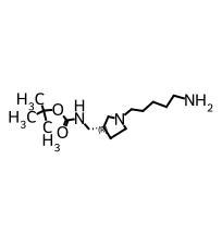 CC(C)(C)OC(=O)NC[C@H]1CCN(CCCCCN)C1